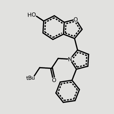 CC(C)(C)CC(=O)Cn1c(-c2ccccc2)ccc1-c1coc2cc(O)ccc12